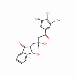 CC(O)(CC(=O)c1cc(C(C)(C)C)c(O)c(C(C)(C)C)c1)CC1C(=O)c2ccccc2C1O